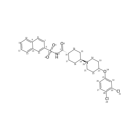 O=C(NS(=O)(=O)c1ccc2ccccc2c1)[C@H]1CC[C@H](N2CCC(Oc3ccc(Cl)c(Cl)c3)CC2)CC1